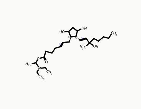 CCCCCC(C)(O)/C=C/[C@H]1C(O)CC(O)[C@@H]1C/C=C/CCCC(=O)OC(C)N(CC)CC